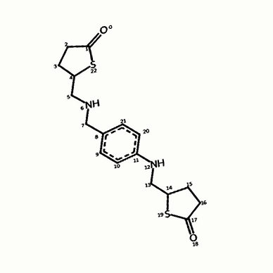 O=C1CCC(CNCc2ccc(NCC3CCC(=O)S3)cc2)S1